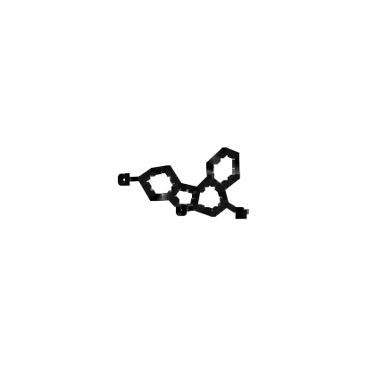 Clc1ccc2c(c1)oc1cc(Br)c3ccccc3c12